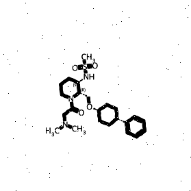 CN(C)CC(=O)N1CCC[C@H](NS(C)(=O)=O)[C@@H]1CO[C@H]1CC[C@@H](c2ccccc2)CC1